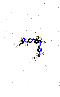 C=CC(=O)Nc1ccc(CCn2c(C#N)cc3c(C)c(CN4CCC(Nc5ncnc6sc(CC(F)(F)F)cc56)CC4)ccc32)nn1